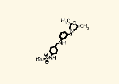 C[C@@H]1CN(Sc2cccc(NCC3CCC(NS(=O)(=O)C(C)(C)C)CC3)c2)C[C@H](C)O1